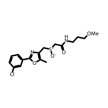 COCCCNC(=O)C[S+]([O-])Cc1nc(-c2cccc(Cl)c2)oc1C